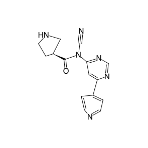 N#CN(C(=O)[C@H]1CCNC1)c1cc(-c2ccncc2)ncn1